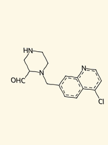 O=CC1CNCCN1Cc1ccc2c(Cl)ccnc2c1